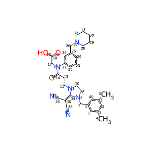 Cc1cc(C)cc(CN2CCN(CCC(=O)N(CC(=O)O)c3cccc(CN4CCCCC4)c3)C2=C(C#N)C#N)c1